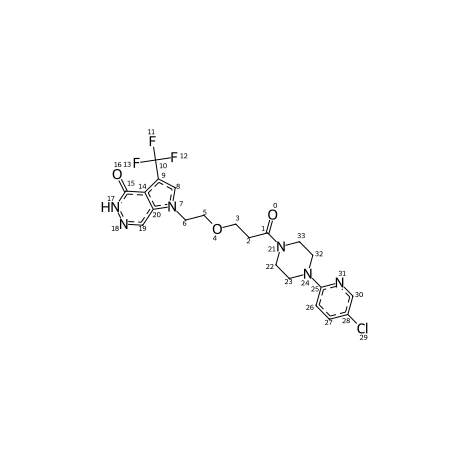 O=C(CCOCCn1cc(C(F)(F)F)c2c(=O)[nH]ncc21)N1CCN(c2ccc(Cl)cn2)CC1